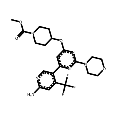 COC(=O)N1CCC(Oc2cc(-c3cnc(N)cc3C(F)(F)F)nc(N3CCOCC3)n2)CC1